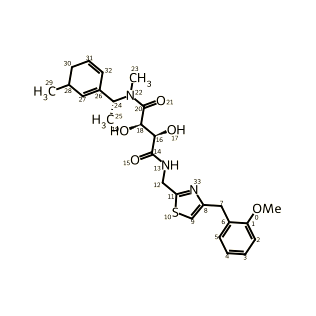 COc1ccccc1Cc1csc(CNC(=O)[C@H](O)[C@@H](O)C(=O)N(C)[C@H](C)C2=CC(C)CC=C2)n1